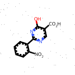 O=C(O)c1cnc(-c2ccccc2[N+](=O)[O-])nc1O